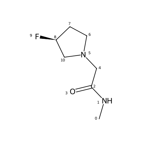 CNC(=O)CN1CC[C@H](F)C1